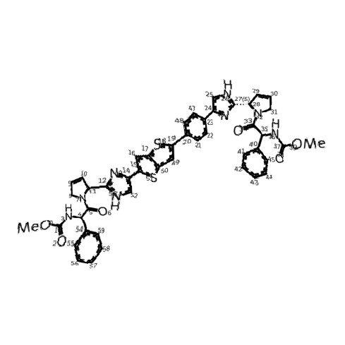 COC(=O)NC(C(=O)N1CC=CC1c1nc(-c2cc3sc(-c4ccc(-c5c[nH]c([C@@H]6C=CCN6C(=O)C(NC(=O)OC)c6ccccc6)n5)cc4)cc3s2)c[nH]1)c1ccccc1